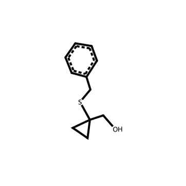 OCC1(SCc2ccccc2)CC1